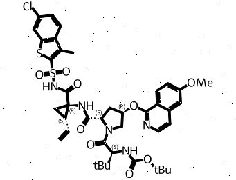 C=C[C@@H]1C[C@]1(NC(=O)[C@@H]1C[C@@H](Oc2nccc3cc(OC)ccc23)CN1C(=O)[C@@H](NC(=O)OC(C)(C)C)C(C)(C)C)C(=O)NS(=O)(=O)c1sc2cc(Cl)ccc2c1C